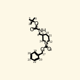 CC(C)(C)OC(=O)NCC1CCCN(C(=O)OCc2ccccc2)C1